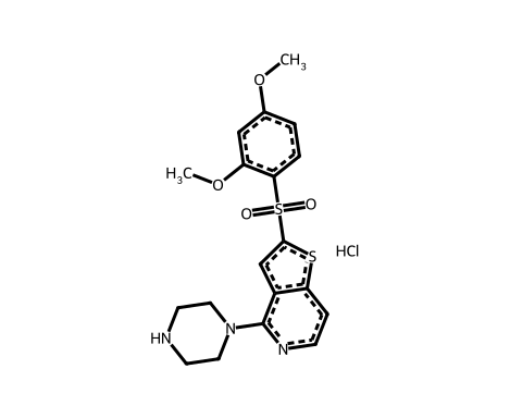 COc1ccc(S(=O)(=O)c2cc3c(N4CCNCC4)nccc3s2)c(OC)c1.Cl